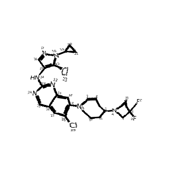 FC1(F)CN(C2CCN(c3cc4nc(Nc5cnn(C6CC6)c5Cl)ncc4cc3Cl)CC2)C1